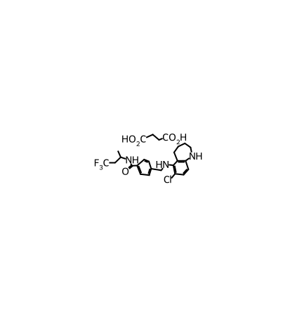 CC(CC(F)(F)F)NC(=O)c1ccc(CNc2c(Cl)ccc3c2CCCCN3)cc1.O=C(O)CCC(=O)O